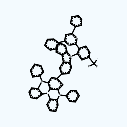 FC(F)(F)c1ccc(-c2nc(-c3ccccc3)cc(-c3ccccc3)n2)c(-n2c3ccccc3c3cc(-c4cc5c6c(c4)N(c4ccccc4)c4ccccc4B6c4ccccc4N5c4ccccc4)ccc32)c1